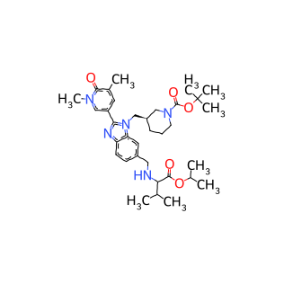 Cc1cc(-c2nc3ccc(CNC(C(=O)OC(C)C)C(C)C)cc3n2C[C@@H]2CCCN(C(=O)OC(C)(C)C)C2)cn(C)c1=O